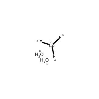 O.O.[F][Co]([F])[F]